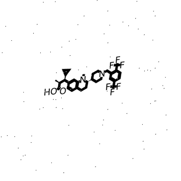 C[C@H](C(=O)O)[C@H](c1ccc2c(c1)N(C)[C@H](C1CCN(Cc3cc(C(F)(F)F)ccc3C(F)(F)F)CC1)CC2)C1CC1